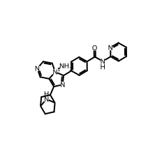 N[N+]12C=CN=CC1=C(C1CC3CCC1N3)N=C2c1ccc(C(=O)Nc2ccccn2)cc1